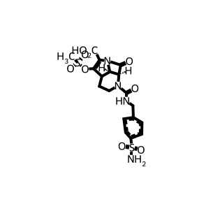 CS(=O)(=O)OC1=C(C(=O)O)N2C(=O)[C@@H]3[C@H]2C1CCN3C(=O)NCc1ccc(S(N)(=O)=O)cc1